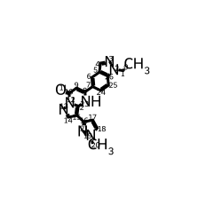 CCn1ncc2cc(-c3cc(=O)n4ncc(-c5ccn(C)n5)c4[nH]3)ccc21